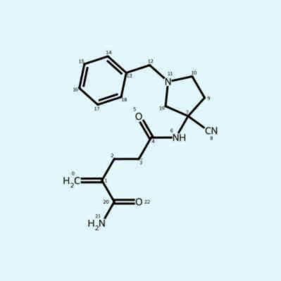 C=C(C[CH]C(=O)NC1(C#N)CCN(Cc2ccccc2)C1)C(N)=O